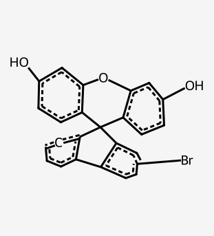 Oc1ccc2c(c1)Oc1cc(O)ccc1C21c2ccccc2-c2ccc(Br)cc21